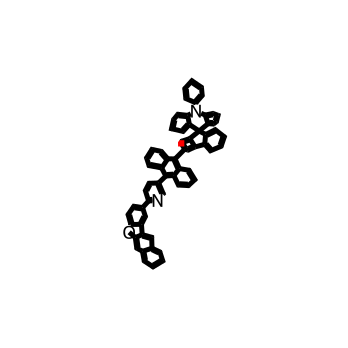 c1ccc(N2c3ccccc3C3(c4ccccc4-c4cc(-c5c6ccccc6c(-c6ccc(-c7ccc8oc9cc%10ccccc%10cc9c8c7)nc6)c6ccccc56)ccc43)c3ccccc32)cc1